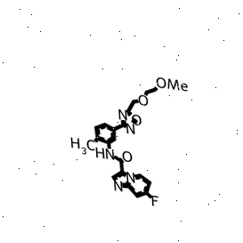 COCCOCc1nc(-c2ccc(C)c(NC(=O)c3cnc4cc(F)ccn34)c2)no1